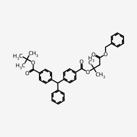 CC(C)(C)OC(=O)c1ccc([C](c2ccccc2)c2ccc(C(=O)OC(C)(C)CC(=O)OCc3ccccc3)cc2)cc1